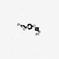 CC(C)OCC(=O)N1CCC(O[C@H]2C[C@H](OC(C)C)C2)CC1